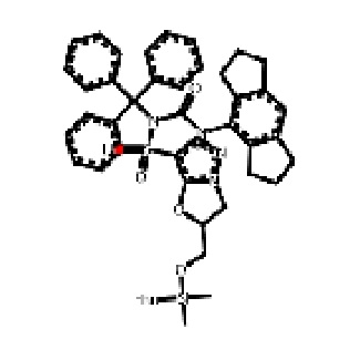 CC(C)(C)[Si](C)(C)OCC1Cn2ncc(S(=N)(=O)N(C(=O)Nc3c4c(cc5c3CCC5)CCC4)C(c3ccccc3)(c3ccccc3)c3ccccc3)c2O1